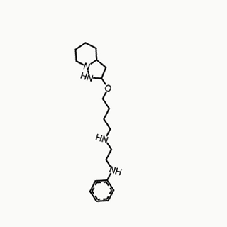 c1ccc(NCCNCCCCOC2CC3CCCCN3N2)cc1